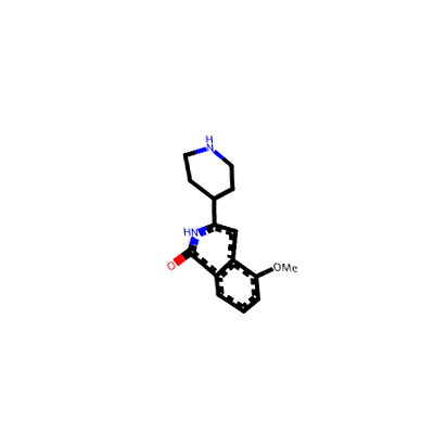 COc1cccc2c(=O)[nH]c(C3CCNCC3)cc12